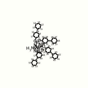 NP1(N)=N[PH](Oc2ccc(-c3ccccc3)cc2)(Oc2ccc(-c3ccccc3)cc2)N[PH](Oc2ccc(-c3ccccc3)cc2)(Oc2ccc(-c3ccccc3)cc2)N1